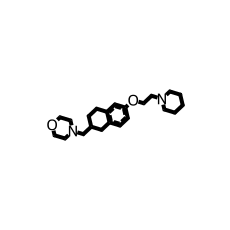 c1cc2c(cc1OCCN1CCCCC1)CCC(CN1CCOCC1)C2